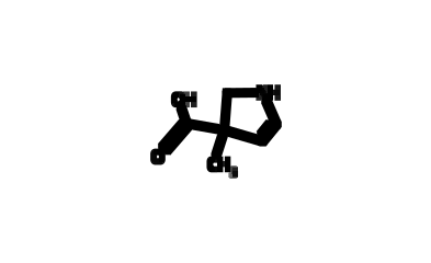 CC1(C(=O)O)C=CNC1